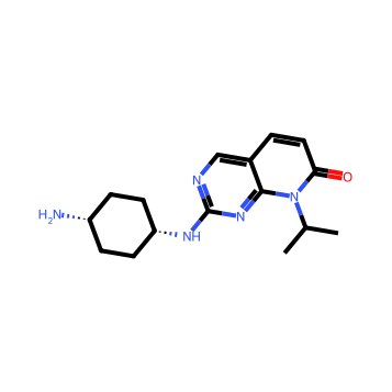 CC(C)n1c(=O)ccc2cnc(N[C@H]3CC[C@@H](N)CC3)nc21